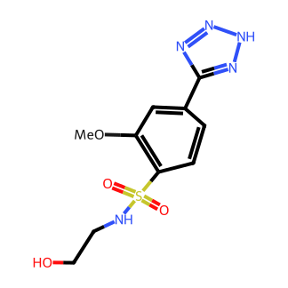 COc1cc(-c2nn[nH]n2)ccc1S(=O)(=O)NCCO